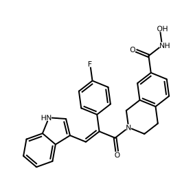 O=C(NO)c1ccc2c(c1)CN(C(=O)/C(=C/c1c[nH]c3ccccc13)c1ccc(F)cc1)CC2